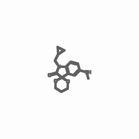 CNc1ccc2c(c1)C1(OCCCO1)C(=O)N2CC1CC1